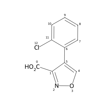 O=C(O)c1nocc1-c1ccccc1Cl